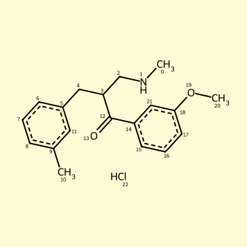 CNCC(Cc1cccc(C)c1)C(=O)c1cccc(OC)c1.Cl